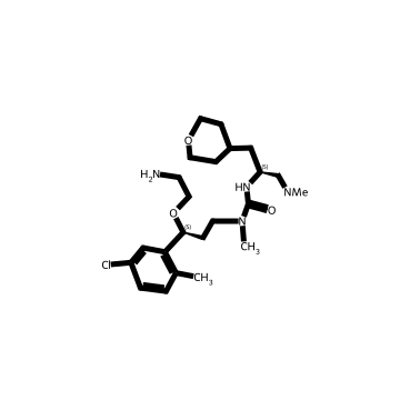 CNC[C@H](CC1CCOCC1)NC(=O)N(C)CC[C@H](OCCN)c1cc(Cl)ccc1C